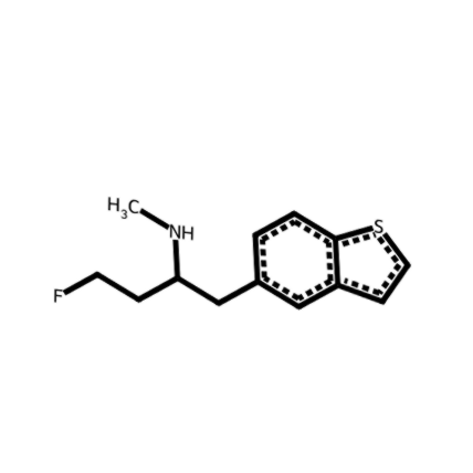 CNC(CCF)Cc1ccc2sccc2c1